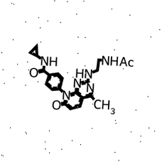 CC(=O)NCCNc1nc(C)c2ccc(=O)n(-c3ccc(C(=O)NC4CC4)cc3)c2n1